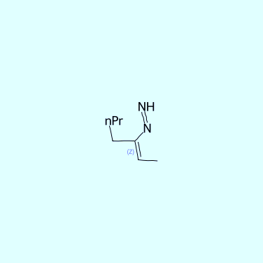 C/C=C(/CCCC)N=N